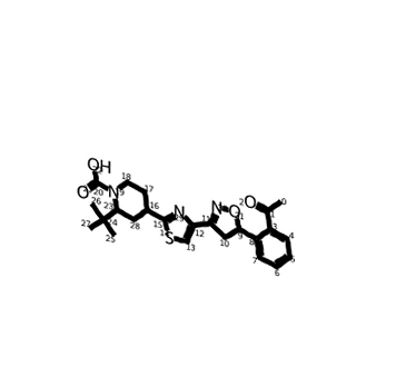 CC(=O)c1ccccc1C1CC(c2csc(C3CCN(C(=O)O)C(C(C)(C)C)C3)n2)=NO1